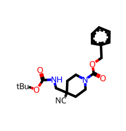 CC(C)(C)OC(=O)NCC1(C#N)CCN(C(=O)OCc2ccccc2)CC1